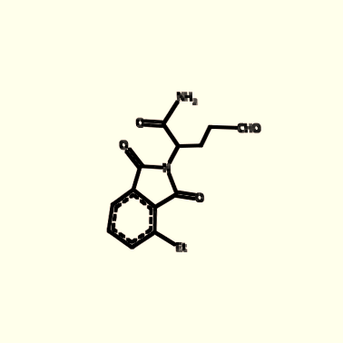 CCc1cccc2c1C(=O)N(C(CCC=O)C(N)=O)C2=O